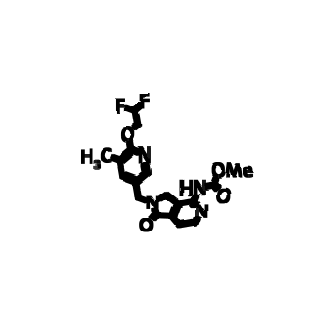 COC(=O)Nc1nccc2c1CN(Cc1cnc(OCC(F)F)c(C)c1)C2=O